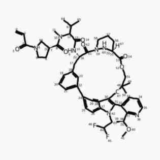 C=CC(=O)N1CC[C@H](C(=O)N(C)C(C(=O)N[C@H]2Cc3cccc(c3)-c3ccc4c(c3)c(c(-c3cccnc3[C@H](C)OC)n4CC(F)F)CC(C)(C)COC(=O)[C@@H]3CCCN(N3)C2=O)C(C)C)C1